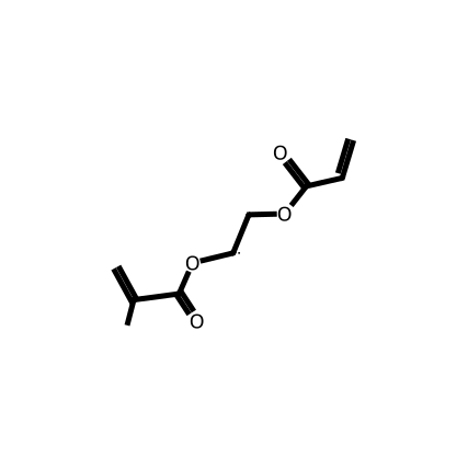 C=CC(=O)OC[CH]OC(=O)C(=C)C